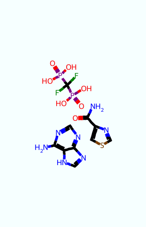 NC(=O)c1cscn1.Nc1ncnc2nc[nH]c12.O=P(O)(O)C(F)(F)P(=O)(O)O